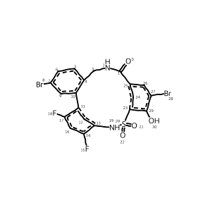 O=C1NCc2ccc(Br)cc2-c2cc(c(F)cc2F)NS(=O)(=O)c2cc1cc(Br)c2O